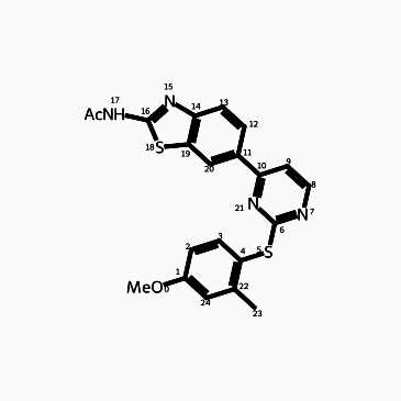 COc1ccc(Sc2nccc(-c3ccc4nc(NC(C)=O)sc4c3)n2)c(C)c1